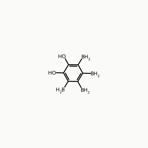 Bc1c(B)c(B)c(O)c(O)c1B